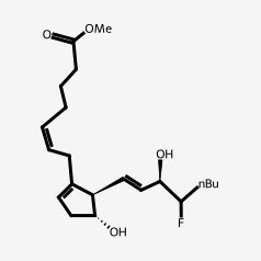 CCCCC(F)[C@H](O)/C=C/[C@@H]1C(C/C=C\CCCC(=O)OC)=CC[C@H]1O